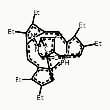 CCc1c(CC)c2cc3c(CC)c(CC)c4cc5c(CC)c(CC)c6cc7c(CC)c(CC)c(cc1n2[pH]n65)n7n34